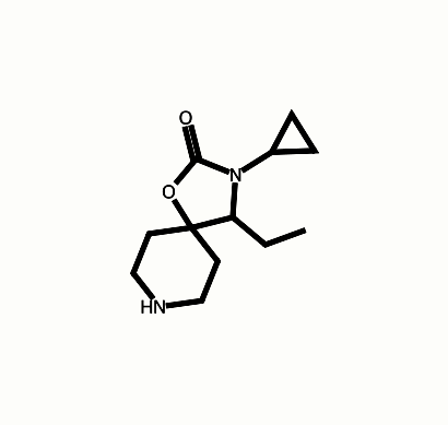 CCC1N(C2CC2)C(=O)OC12CCNCC2